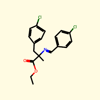 CCOC(=O)C(C)(Cc1ccc(Cl)cc1)/N=C/c1ccc(Cl)cc1